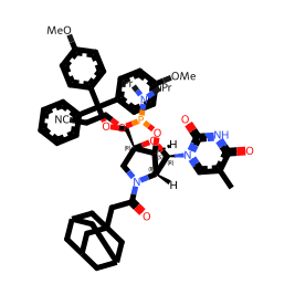 COc1ccc(C(OC[C@@]23CN(C(=O)CC45CC6CC(CC(C6)C4)C5)[C@@H]([C@H](n4cc(C)c(=O)[nH]c4=O)O2)[C@@H]3OP(OCCC#N)N(C(C)C)C(C)C)(c2ccccc2)c2ccc(OC)cc2)cc1